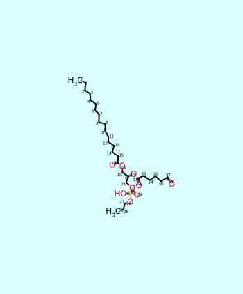 CCCCCCCCCCCCCCCCC(=O)OCC(COP(=O)(O)OCCC)OC(=O)CCCCC=O